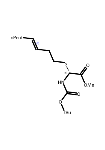 CCCCC/C=C/CCC[C@@H](NC(=O)OC(C)(C)C)C(=O)OC